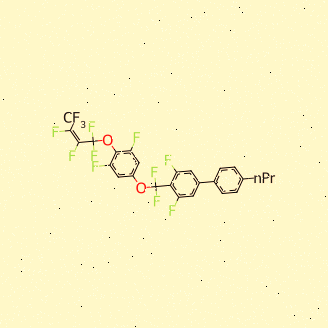 CCCc1ccc(-c2cc(F)c(C(F)(F)Oc3cc(F)c(OC(F)(F)/C(F)=C(/F)C(F)(F)F)c(F)c3)c(F)c2)cc1